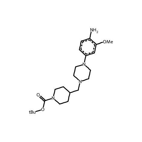 COc1cc(N2CCN(CC3CCN(C(=O)OC(C)(C)C)CC3)CC2)ccc1N